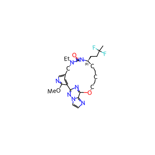 CCN1Cc2cnc(OC)c(c2)-c2nc(c3nccn3n2)OCCCCC[C@H](CCC(C)(F)F)NC1=O